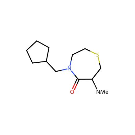 CNC1CSCCN(CC2CCCC2)C1=O